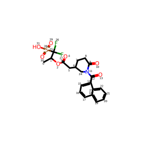 CC(OC(=O)CC1CCC(=O)N(C(=O)c2cccc3ccccc23)C1)C(F)(F)S(=O)(=O)O